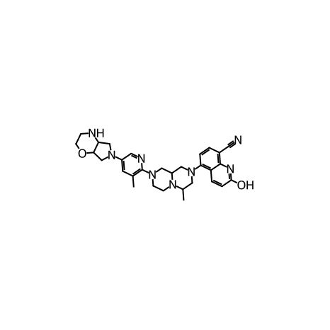 Cc1cc(N2CC3NCCOC3C2)cnc1N1CCN2C(C)CN(c3ccc(C#N)c4nc(O)ccc34)CC2C1